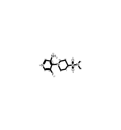 CN(C)S(=O)(=O)C1CCN(c2c(N)cncc2F)CC1